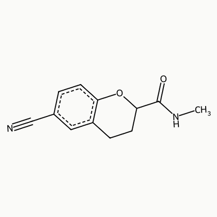 CNC(=O)C1CCc2cc(C#N)ccc2O1